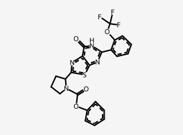 O=C(Oc1ccccc1)N1CCCC1c1nc2c(=O)[nH]c(-c3ccccc3OC(F)(F)F)nc2s1